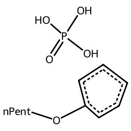 CCCCCOc1ccccc1.O=P(O)(O)O